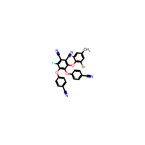 Cc1cc(Br)c(Oc2c(C#N)c(C#N)c(F)c(Oc3ccc(C#N)cc3)c2Oc2ccc(C#N)cc2)c(Br)c1